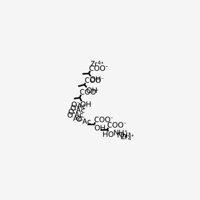 CC(=O)[O-].CC(=O)[O-].CC(=O)[O-].CC(=O)[O-].CC(=O)[O-].CC(O)C(=O)[O-].CC(O)C(=O)[O-].CC(O)C(=O)[O-].CC(O)C(=O)[O-].CC(O)C(=O)[O-].[NH4+].[NH4+].[Zr+4].[Zr+4]